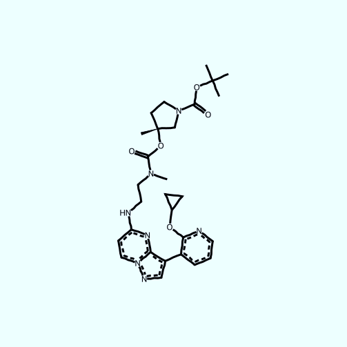 CN(CCNc1ccn2ncc(-c3cccnc3OC3CC3)c2n1)C(=O)O[C@]1(C)CCN(C(=O)OC(C)(C)C)C1